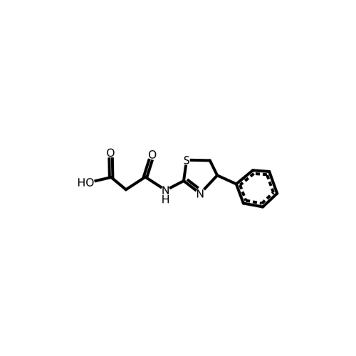 O=C(O)CC(=O)NC1=NC(c2ccccc2)CS1